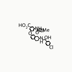 COC(=O)Nc1cc(Oc2ccc3c(c2)C[C@@H](NC[C@H](O)c2ccc(Cl)cc2)CC3)cc(C(=O)O)c1.Cl